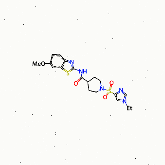 CCn1cnc(S(=O)(=O)N2CCC(C(=O)Nc3nc4ccc(OC)cc4s3)CC2)c1